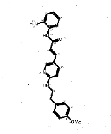 COc1ccc(CCNc2ccc(/C=C/C(=O)Nc3ccccc3N)cn2)cc1